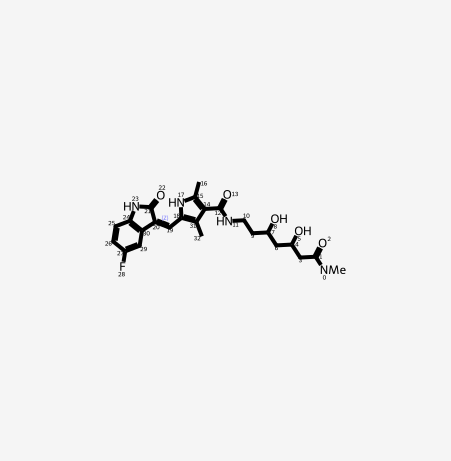 CNC(=O)CC(O)CC(O)CCNC(=O)c1c(C)[nH]c(/C=C2\C(=O)Nc3ccc(F)cc32)c1C